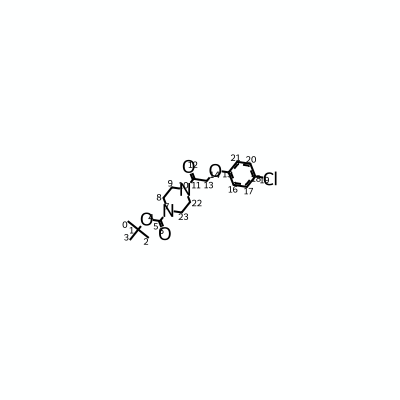 CC(C)(C)OC(=O)N1CCN(C(=O)COc2ccc(Cl)cc2)CC1